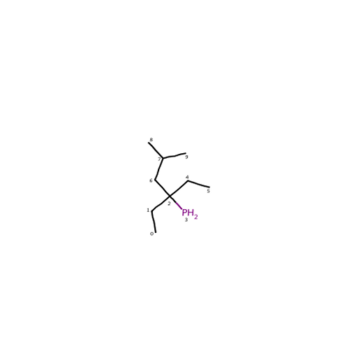 CCC(P)(CC)CC(C)C